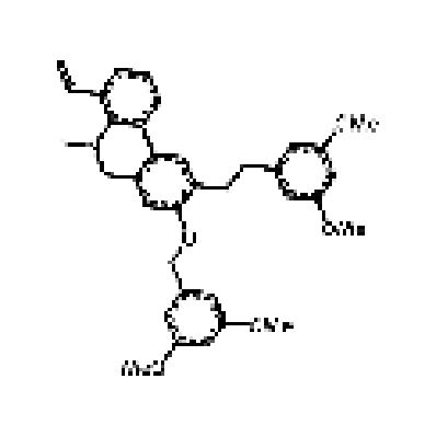 C=Cc1cccc2c1N(C)Cc1cc(OCc3cc(OC)cc(OC)c3)c(CCc3cc(OC)cc(OC)c3)cc1-2